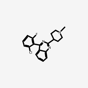 CN1CCC(c2nc(-c3c(F)cccc3Cl)c3ccccc3n2)CC1